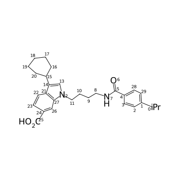 CC(C)c1ccc(C(=O)NCCCCn2cc(C3CCCCC3)c3ccc(C(=O)O)cc32)cc1